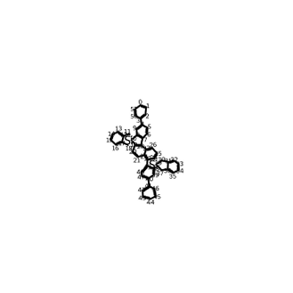 c1ccc(-c2ccc3c(c2)[Si]2(Cc4ccccc4C2)c2ccc4c5c(ccc4c2-3)[Si]2(Cc3ccccc3C2)c2cc(-c3ccccc3)ccc2-5)cc1